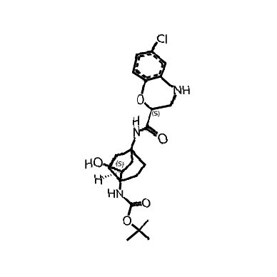 CC(C)(C)OC(=O)NC12CCC(NC(=O)[C@@H]3CNc4cc(Cl)ccc4O3)(CC1)C[C@@H]2O